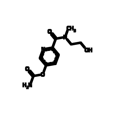 CN(CCO)C(=O)c1ccc(OC(N)=O)cn1